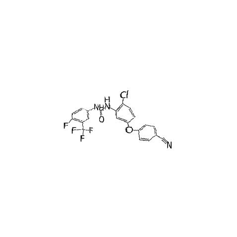 N#Cc1ccc(Oc2ccc(Cl)c(NC(=O)Nc3ccc(F)c(C(F)(F)F)c3)c2)cc1